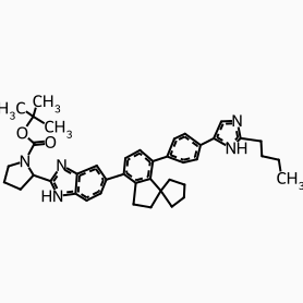 CCCCc1ncc(-c2ccc(-c3ccc(-c4ccc5[nH]c(C6CCCN6C(=O)OC(C)(C)C)nc5c4)c4c3C3(CCCC3)CC4)cc2)[nH]1